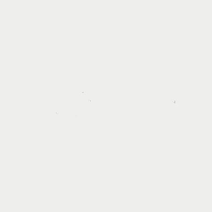 CC(=O)NC[C@H]1CN(c2ccc(-c3ccc(C(N)=O)cc3)c(F)c2)C(=O)O1